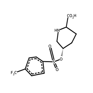 O=C(O)C1CC[C@H](OS(=O)(=O)c2ccc(C(F)(F)F)cc2)CN1